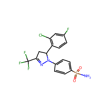 NS(=O)(=O)c1ccc(N2N=C(C(F)(F)F)CC2c2ccc(F)cc2Cl)cc1